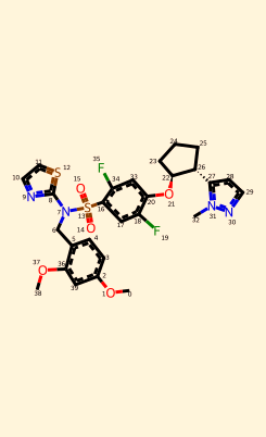 COc1ccc(CN(c2nccs2)S(=O)(=O)c2cc(F)c(O[C@H]3CCC[C@@H]3c3ccnn3C)cc2F)c(OC)c1